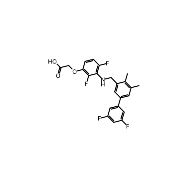 Cc1cc(-c2cc(F)cc(F)c2)cc(CNc2c(F)ccc(OCC(=O)O)c2F)c1C